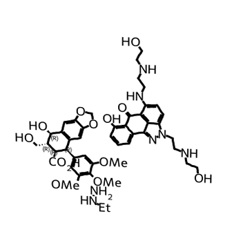 CCNN.COc1cc([C@@H]2c3cc4c(cc3[C@H](O)[C@@H](CO)[C@@H]2C(=O)O)OCO4)cc(OC)c1OC.O=C1c2c(O)cccc2-c2nn(CCNCCO)c3ccc(NCCNCCO)c1c23